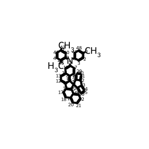 Cc1ccc(N(c2ccc3c4c(ccc3c2)-c2ccc3ccccc3c2C42c3ccccc3-c3ccccc32)c2cc(C)ccc2C)cc1